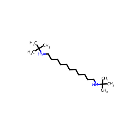 CC(C)(C)NCCCCCCCCCCCNC(C)(C)C